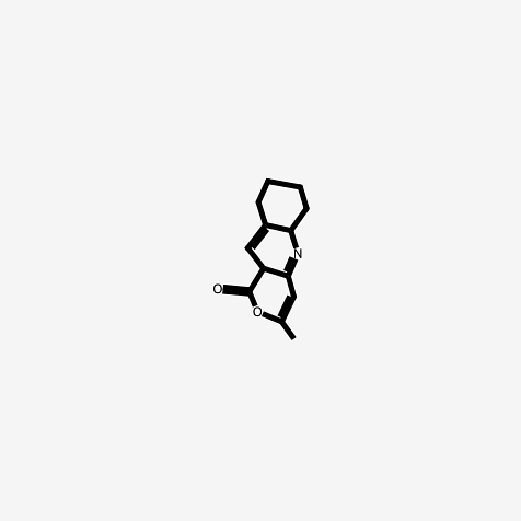 CC1=CC2=NC3CCCCC3=CC2C(=O)O1